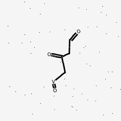 O=CCC(=O)[CH2][V]=[O]